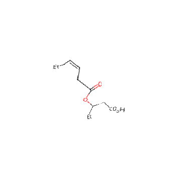 CC/C=C\CC(=O)OC(CC)CC(=O)O